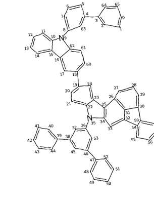 c1ccc(-c2cccc(-n3c4ccccc4c4cc(-c5ccc6c(c5)c5c7cccc8c7c(cc5n6-c5cc(-c6ccccc6)cc(-c6ccccc6)c5)-c5ccccc5-8)ccc43)c2)cc1